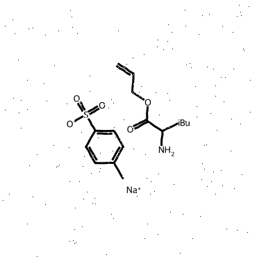 C=CCOC(=O)C(N)C(C)CC.Cc1ccc(S(=O)(=O)[O-])cc1.[Na+]